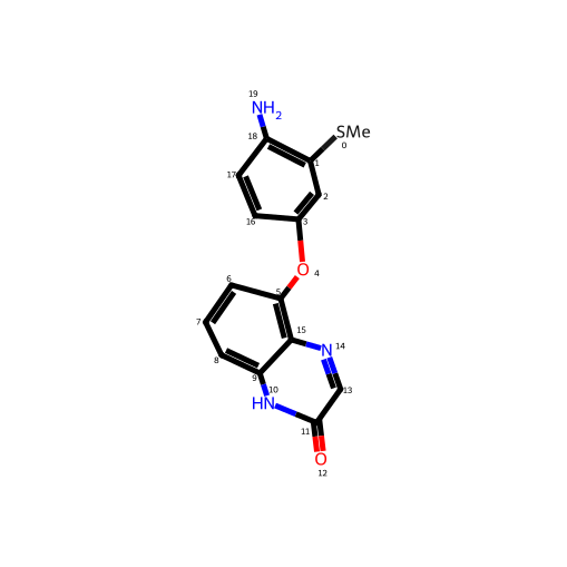 CSc1cc(Oc2cccc3[nH]c(=O)cnc23)ccc1N